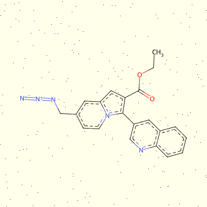 CCOC(=O)c1cc2cc(CN=[N+]=[N-])ccn2c1-c1cnc2ccccc2c1